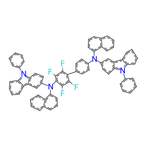 Fc1c(F)c(N(c2ccc3c(c2)c2ccccc2n3-c2ccccc2)c2cccc3ccccc23)c(F)c(F)c1-c1ccc(N(c2ccc3c(c2)c2ccccc2n3-c2ccccc2)c2cccc3ccccc23)cc1